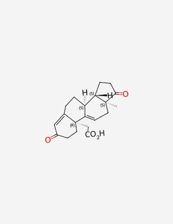 C[C@]12CC=C3[C@@H](CCC4=CC(=O)CC[C@@]43CC(=O)O)[C@@H]1CCC2=O